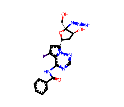 [N-]=[N+]=N[C@]1(CO)O[C@@H](c2cc(I)c3c(NC(=O)c4ccccc4)ncnn23)C[C@@H]1O